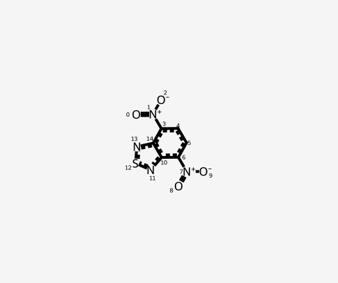 O=[N+]([O-])c1ccc([N+](=O)[O-])c2nsnc12